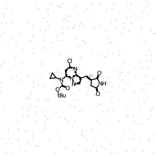 CC(C)(C)OC(=O)N(c1cc(Cl)nc2c(/C=C3\CC(=O)NC3=O)cnn12)C1CC1